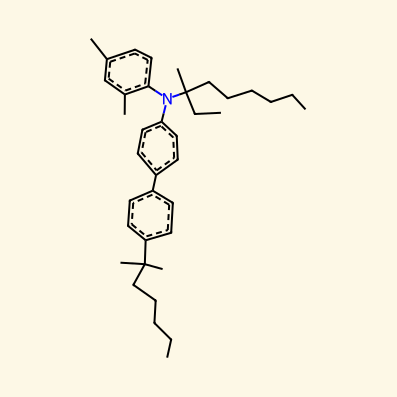 CCCCCCC(C)(CC)N(c1ccc(-c2ccc(C(C)(C)CCCCC)cc2)cc1)c1ccc(C)cc1C